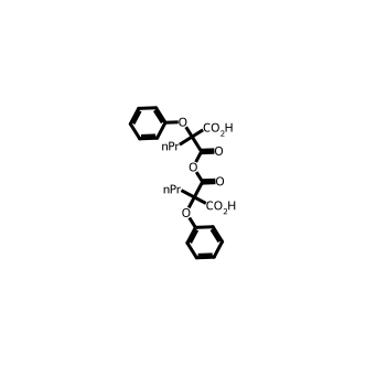 CCCC(Oc1ccccc1)(C(=O)O)C(=O)OC(=O)C(CCC)(Oc1ccccc1)C(=O)O